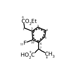 CCOC(=O)Cc1cccc(C(C)C(=O)O)c1F